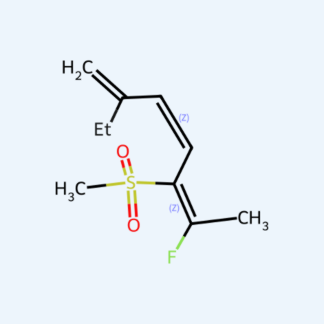 C=C(/C=C\C(=C(/C)F)S(C)(=O)=O)CC